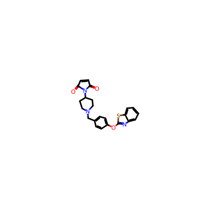 O=C1C=CC(=O)N1C1CCN(Cc2ccc(Oc3nc4ccccc4s3)cc2)CC1